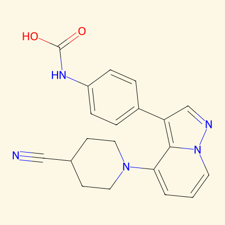 N#CC1CCN(c2cccn3ncc(-c4ccc(NC(=O)O)cc4)c23)CC1